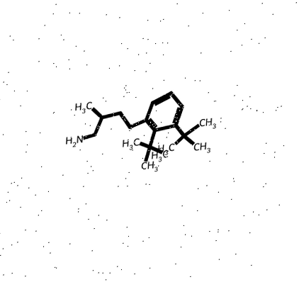 CC(CN)CCc1cccc(C(C)(C)C)c1C(C)(C)C